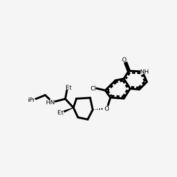 CCC(NCC(C)C)[C@]1(CC)CC[C@H](Oc2cc3cc[nH]c(=O)c3cc2Cl)CC1